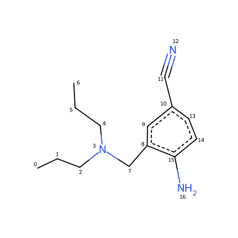 CCCN(CCC)Cc1cc(C#N)ccc1N